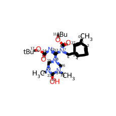 Cc1cccc(CN(C(=O)OC(C)(C)C)/C(=N/C(=O)OC(C)(C)C)N2CN(C)C(O)N(C)C2)c1